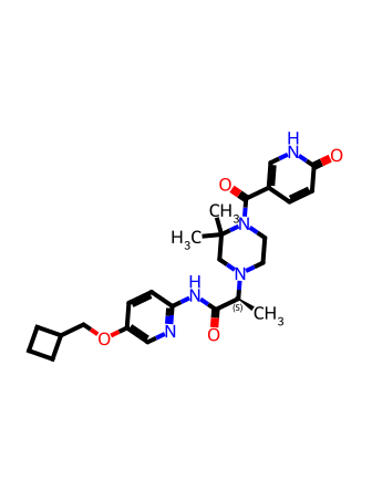 C[C@@H](C(=O)Nc1ccc(OCC2CCC2)cn1)N1CCN(C(=O)c2ccc(=O)[nH]c2)C(C)(C)C1